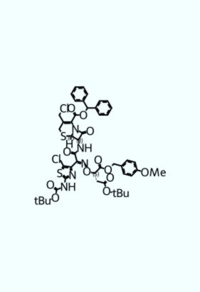 COc1ccc(COC(=O)[C@H](CC(=O)OC(C)(C)C)ON=C(C(=O)N[C@@H]2C(=O)N3C(C(=O)OC(c4ccccc4)c4ccccc4)=C(CCl)CS[C@H]23)c2nc(NC(=O)OC(C)(C)C)sc2Cl)cc1